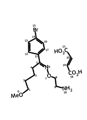 COCCCCC(=NOCCN)c1ccc(Br)cc1.O=C(O)C=CC(=O)O